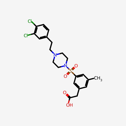 Cc1cc(CC(=O)O)cc(S(=O)(=O)N2CCN(CCc3ccc(Cl)c(Cl)c3)CC2)c1